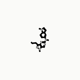 CCCc1nn(C)c2cnc(N(C)c3ccc4c(ccn4C)c3)nc12